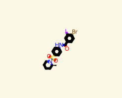 C[C@H]1CCCCN1S(=O)(=O)c1ccc(NC(=O)c2ccc(Br)c(I)c2)cc1